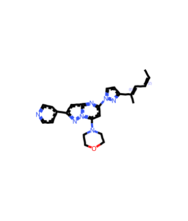 C/C=C\C=C(/C)c1ccn(-c2cc(N3CCOCC3)n3nc(-c4ccncc4)cc3n2)n1